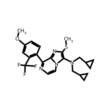 COc1ccc(-c2nccn3c(N(CC4CC4)CC4CC4)c(SC)nc23)c(C(F)(F)F)c1